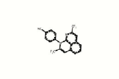 N#Cc1ccc(N2C(C(F)(F)F)=Cc3cccc4cc(C(F)(F)F)nc2c34)cc1